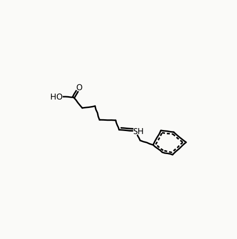 O=C(O)CCCCC=[SH]Cc1ccccc1